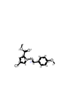 COC(=O)c1cc(Cl)cn1/N=C/c1ccc(OC)cc1